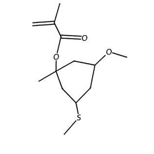 C=C(C)C(=O)OC1(C)CC(OC)CC(SC)C1